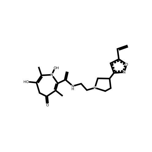 C=Cc1cc(C2CCN(CCNC(=C)C3=C(C)C(=O)CC(O)=C(C)N3O)C2)no1